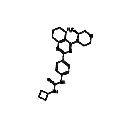 C[C@H]1COCCN1c1nc(-c2ccc(NC(=O)NC3CCC3)cc2)nc2c1CCCC2